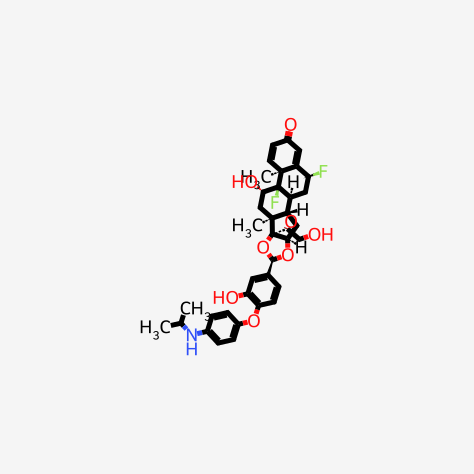 CC(C)Nc1ccc(Oc2ccc([C@@H]3O[C@@H]4C[C@H]5[C@@H]6C[C@H](F)C7=CC(=O)C=C[C@]7(C)[C@@]6(F)[C@@H](O)C[C@]5(C)[C@]4(C(=O)CO)O3)cc2O)cc1